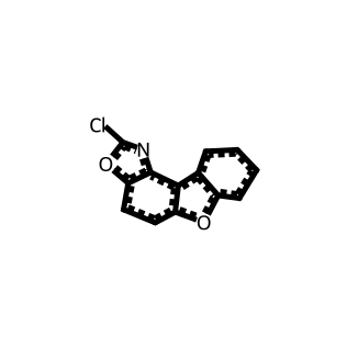 Clc1nc2c(ccc3oc4ccccc4c32)o1